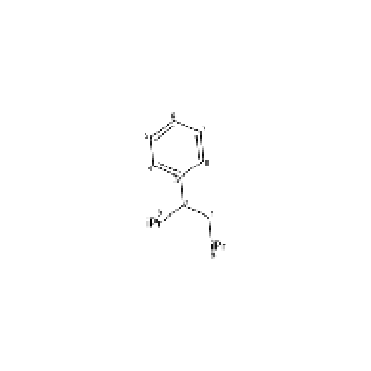 CC(C)CC(c1ccccc1)C(C)C